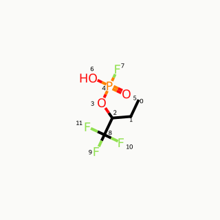 CCC(OP(=O)(O)F)C(F)(F)F